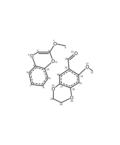 COC1=COc2ccccc2O1.COc1cc2c(cc1C=O)OCCO2